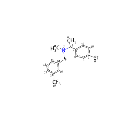 CCc1ccc(C(C)N(C)Cc2cccc(C(F)(F)F)c2)cc1